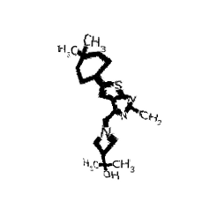 Cc1nc(CN2CC(C(C)(C)O)C2)c2cc(C3CCC(C)(C)CC3)sc2n1